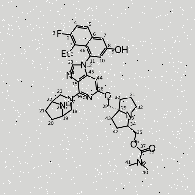 CCc1c(F)ccc2cc(O)cc(-n3cnc4c(N5CC6CCC(C5)N6)nc(OC[C@]56CCCN5[C@@H](COC(=O)N(C)C)CC6)cc43)c12